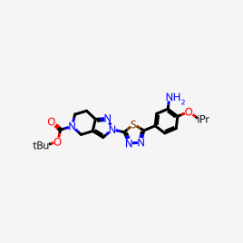 CC(C)Oc1ccc(-c2nnc(-n3cc4c(n3)CCN(C(=O)OC(C)(C)C)C4)s2)cc1N